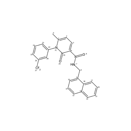 Cc1ccc(C(=O)NCc2cccc3ccccc23)c(=O)n1-c1cccc(C(F)(F)F)c1